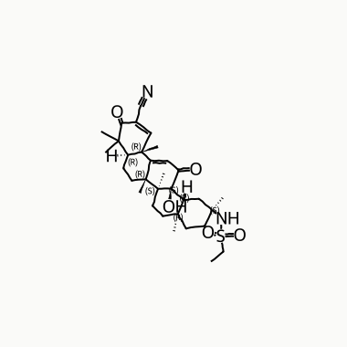 CCS(=O)(=O)N[C@@]1(C)CC[C@@]2(C)CC[C@@]3(C)[C@]4(C)CC[C@H]5C(C)(C)C(=O)C(C#N)=C[C@]5(C)C4=CC(=O)[C@]3(O)[C@@H]2C1